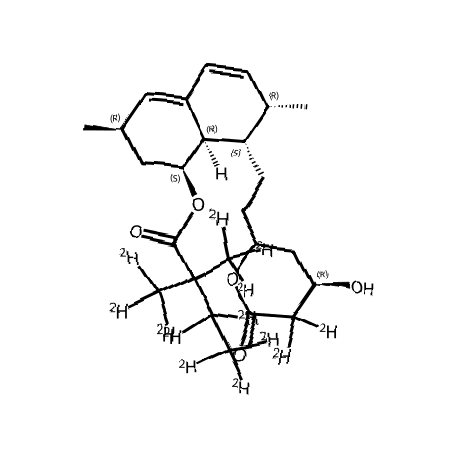 [2H]C1([2H])C(=O)OC(CC[C@@H]2[C@@H]3C(=C[C@H](C)C[C@@H]3OC(=O)C(C([2H])([2H])[2H])(C([2H])([2H])[2H])C([2H])([2H])C([2H])([2H])[2H])C=C[C@@H]2C)C[C@H]1O